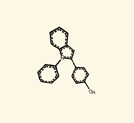 Oc1ccc(-c2cc3ccccc3n2-c2ccccc2)cc1